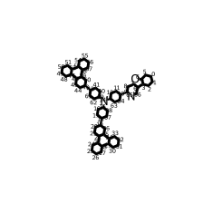 c1ccc2c(c1)oc1cc(-c3ccc(N(c4ccc(-c5ccc6c7ccccc7c7ccccc7c6c5)cc4)c4ccc(-c5ccc6c7ccccc7c7ccccc7c6c5)cc4)cc3)ncc12